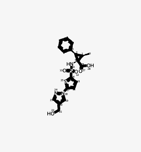 C[C@@H]1[C@H](c2ccccc2)[C@]1(NS(=O)(=O)c1ccc(-n2cc(CO)cn2)s1)C(=O)O